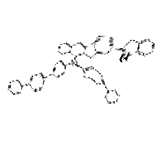 c1ccc(-c2ccc(-c3ccc(N(c4ccc(-c5ccccc5)cc4)c4c5c(cc6ccccc46)-c4ccc(C6=Nc7ccccc7C6)cc4C5)cc3)cc2)cc1